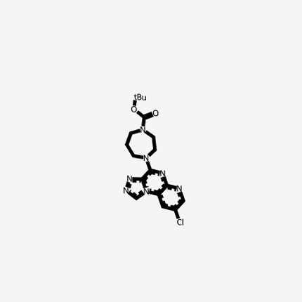 CC(C)(C)OC(=O)N1CCCN(c2nc3ncc(Cl)cc3n3cnnc23)CC1